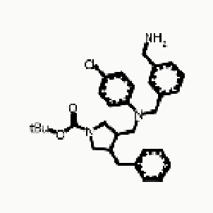 CC(C)(C)OC(=O)N1CC(Cc2ccccc2)C(CN(Cc2cccc(CN)c2)c2ccc(Cl)cc2)C1